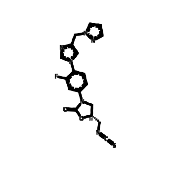 O=C1O[C@@H](CN=C=S)CN1c1ccc(-n2cnc(Cn3cccn3)c2)c(F)c1